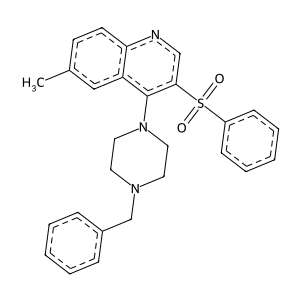 Cc1ccc2ncc(S(=O)(=O)c3ccccc3)c(N3CCN(Cc4ccccc4)CC3)c2c1